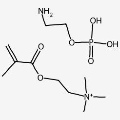 C=C(C)C(=O)OCC[N+](C)(C)C.NCCOP(=O)(O)O